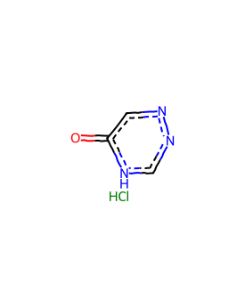 Cl.O=c1cnnc[nH]1